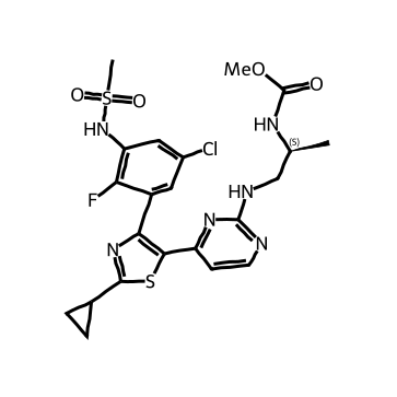 COC(=O)N[C@@H](C)CNc1nccc(-c2sc(C3CC3)nc2-c2cc(Cl)cc(NS(C)(=O)=O)c2F)n1